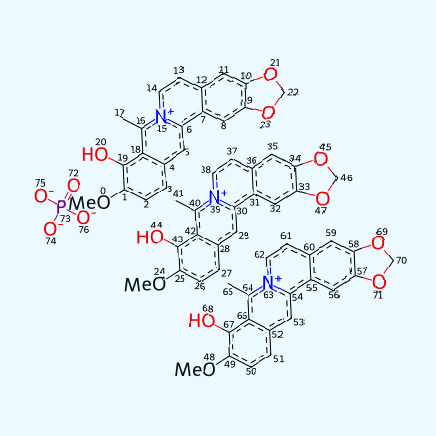 COc1ccc2cc3c4cc5c(cc4cc[n+]3c(C)c2c1O)OCO5.COc1ccc2cc3c4cc5c(cc4cc[n+]3c(C)c2c1O)OCO5.COc1ccc2cc3c4cc5c(cc4cc[n+]3c(C)c2c1O)OCO5.O=P([O-])([O-])[O-]